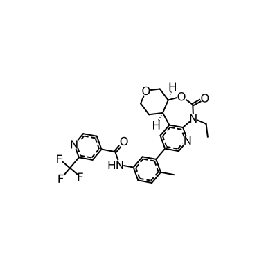 CCN1C(=O)O[C@@H]2COCC[C@@H]2c2cc(-c3cc(NC(=O)c4ccnc(C(F)(F)F)c4)ccc3C)cnc21